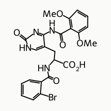 COc1cccc(OC)c1C(=O)Nc1nc(=O)[nH]cc1CC(NC(=O)c1ccccc1Br)C(=O)O